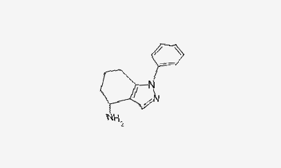 NC1CCCc2c1cnn2-c1ccccc1